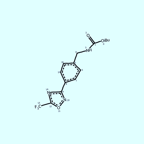 CC(C)COC(=O)NCc1ccc(-c2noc(C(F)(F)F)n2)cc1